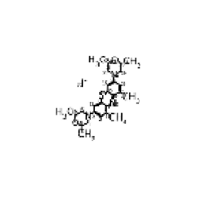 Cc1cc(N2C[C@@H](C)O[C@@H](C)C2)cc2[s+]c3cc(N4C[C@@H](C)O[C@@H](C)C4)cc(C)c3nc12.[I-]